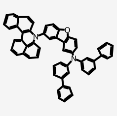 c1ccc(-c2cccc(N(c3cccc(-c4ccccc4)c3)c3ccc4oc5ccc(N6c7ccc8ccccc8c7-c7cccc8cccc6c78)cc5c4c3)c2)cc1